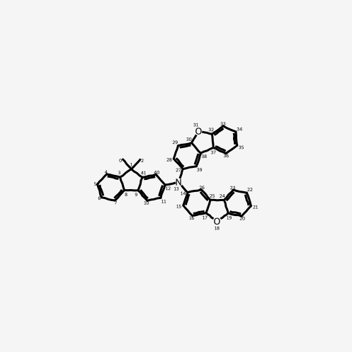 CC1(C)c2ccccc2-c2ccc(N(c3ccc4oc5ccccc5c4c3)c3ccc4oc5ccccc5c4c3)cc21